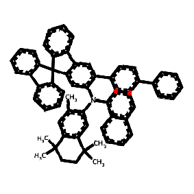 Cc1cc2c(cc1N(c1cc3c(cc1-c1ccc(-c4ccccc4)cc1)-c1ccccc1C31c3ccccc3-c3ccccc31)c1cccc3ccccc13)C(C)(C)CCC2(C)C